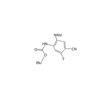 CNc1cc(C#N)c(F)cc1NC(=O)OC(C)(C)C